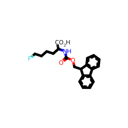 O=C(NC(CCCCF)C(=O)O)OCC1c2ccccc2-c2ccccc21